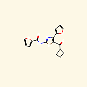 O=C(Nc1nc(-c2ccco2)c(C(=O)C2CCC2)s1)c1ccco1